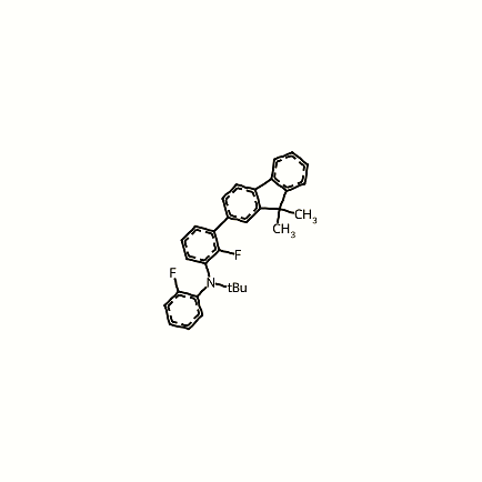 CC1(C)c2ccccc2-c2ccc(-c3cccc(N(c4ccccc4F)C(C)(C)C)c3F)cc21